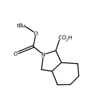 CC(C)(C)OC(=O)N1CC2CCCCC2C1C(=O)O